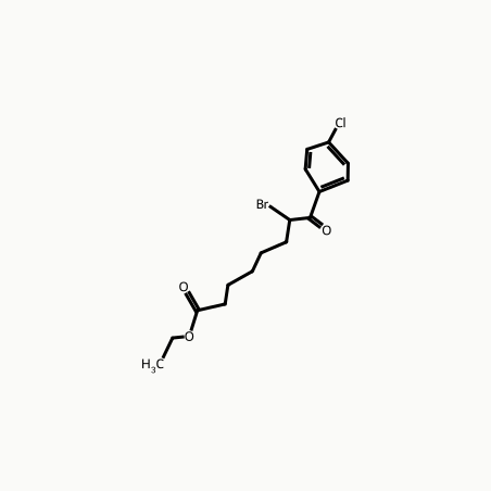 CCOC(=O)CCCCCC(Br)C(=O)c1ccc(Cl)cc1